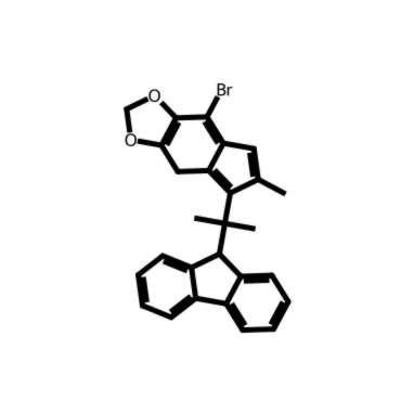 CC1=CC2=C(Br)C3=C(CC2=C1C(C)(C)C1c2ccccc2-c2ccccc21)OCO3